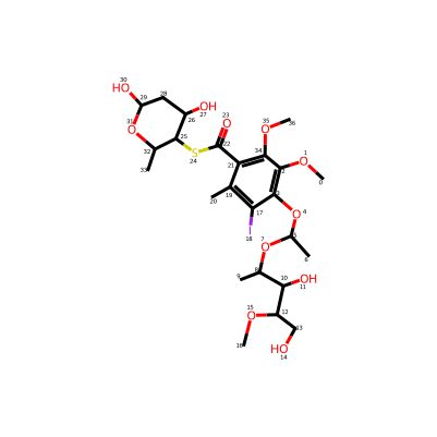 COc1c(OC(C)OC(C)C(O)C(CO)OC)c(I)c(C)c(C(=O)SC2C(O)CC(O)OC2C)c1OC